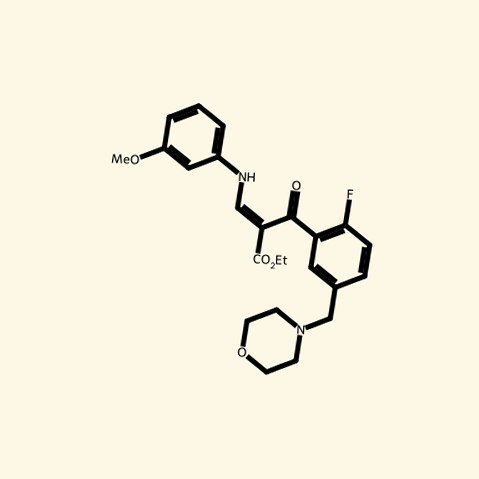 CCOC(=O)C(=CNc1cccc(OC)c1)C(=O)c1cc(CN2CCOCC2)ccc1F